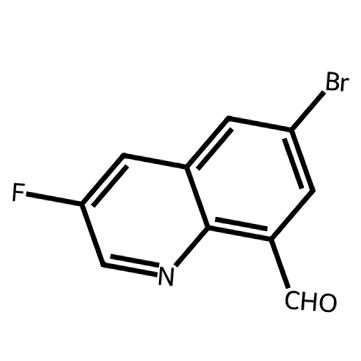 O=Cc1cc(Br)cc2cc(F)cnc12